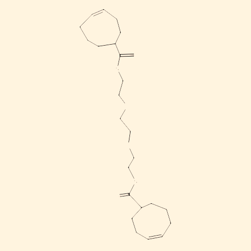 O=C(NCCOCCOCCNC(=O)C1CC/C=C\CCC1)C1CC/C=C\CCC1